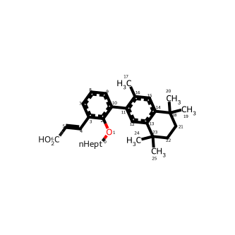 CCCCCCCOc1c(C=CC(=O)O)cccc1-c1cc2c(cc1C)C(C)(C)CCC2(C)C